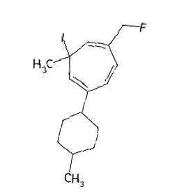 CC1CCC(C2=CC(C)(I)C=C(CF)C=C2)CC1